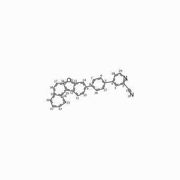 N#Cc1cc(-c2ccc(-c3ccc4c(c3)oc3ccc5ccccc5c34)cc2)ccn1